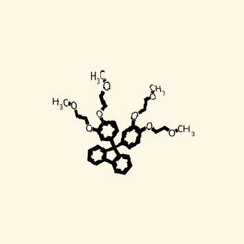 COCCOc1ccc(C2(c3ccc(OCCOC)c(OCCOC)c3)c3ccccc3-c3ccccc32)cc1OCCOC